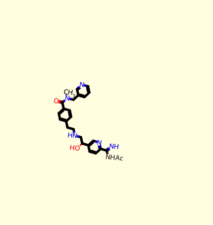 CC(=O)NC(=N)c1ccc([C@@H](O)CNCCc2ccc(C(=O)N(C)Cc3cccnc3)cc2)cn1